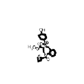 COC(=O)C1CN(C(=O)c2cccs2)c2ccccc2CN1S(=O)(=O)c1ccc(O)cc1